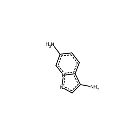 Nc1ccc2c(N)cnn2c1